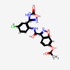 CC(=O)Oc1ccc2c(C(=O)Nc3ccc(Cl)cc3-c3noc(=O)[nH]3)noc2c1